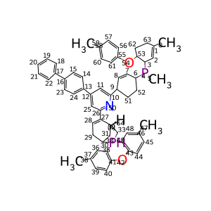 CC1=CC(P(C)C2C=CC(c3cc(-c4ccc(-c5ccccc5)cc4)cc(C4=CCC5C[C@H]4C[PH]54c5cc(C)ccc5Oc5ccc(C)cc54)n3)CC2)C(Oc2ccc(C)cc2)CC1